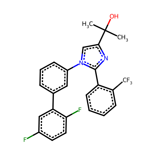 CC(C)(O)c1cn(-c2cccc(-c3cc(F)ccc3F)c2)c(-c2ccccc2C(F)(F)F)n1